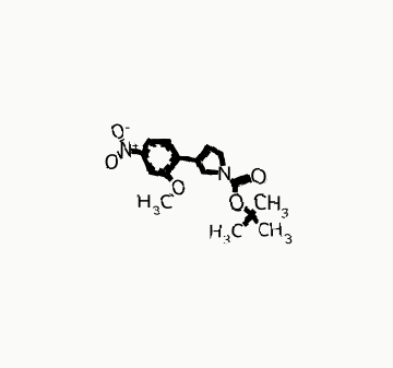 COc1cc([N+](=O)[O-])ccc1C1=CCN(C(=O)OC(C)(C)C)C1